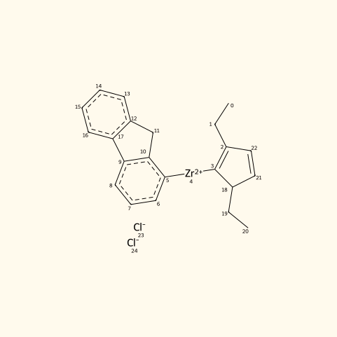 CCC1=[C]([Zr+2][c]2cccc3c2Cc2ccccc2-3)C(CC)C=C1.[Cl-].[Cl-]